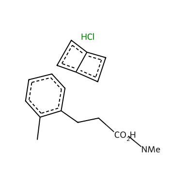 CNC.Cc1ccccc1CCC(=O)O.Cl.c1cc2ccc1-2